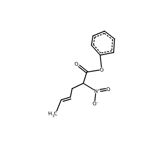 CC=CCC(C(=O)Oc1ccccc1)[N+](=O)[O-]